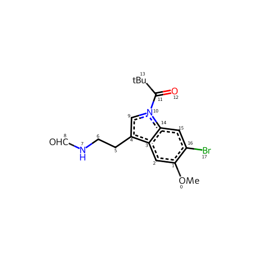 COc1cc2c(CCNC=O)cn(C(=O)C(C)(C)C)c2cc1Br